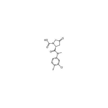 CN(C(=O)[C@@H]1CC(=O)CN1C(=O)O)c1ccc(F)c(Cl)c1